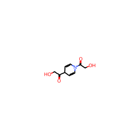 O=C(CO)C1C=CN(C(=O)CO)C=C1